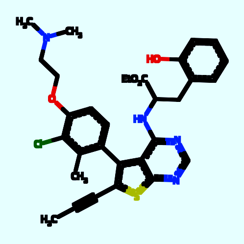 CC#Cc1sc2ncnc(NC(Cc3ccccc3O)C(=O)OCC)c2c1-c1ccc(OCCN(C)C)c(Cl)c1C